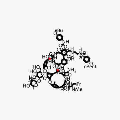 CCCCCOc1ccc(S(=O)(=O)NCCNCc2c(OC(=O)Nc3ccc(OCCCC)cc3)cc3c(c2O)-c2cc(ccc2O)[C@H]2NC(=O)[C@@H]4NC(=O)[C@H](CC(N)=O)NC(=O)[C@H](NC(=O)[C@@H](CC(C)C)NC)[C@H](O)c5ccc(c(C)c5)Oc5cc4cc(c5O[C@@H]4O[C@H](CO)[C@@H](O)[C@H](O)[C@H]4O[C@H]4C[C@](C)(N)[C@H](O)[C@H](C)O4)Oc4ccc(cc4Cl)[C@@H](O)[C@H](NC2=O)C(=O)N[C@@H]3C(=O)O)cc1